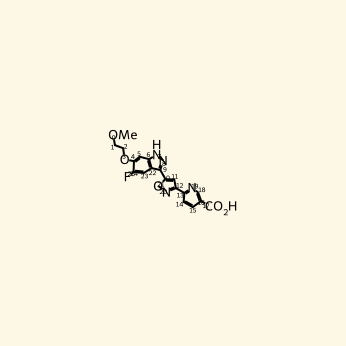 COCCOc1cc2[nH]nc(-c3cc(-c4ccc(C(=O)O)cn4)no3)c2cc1F